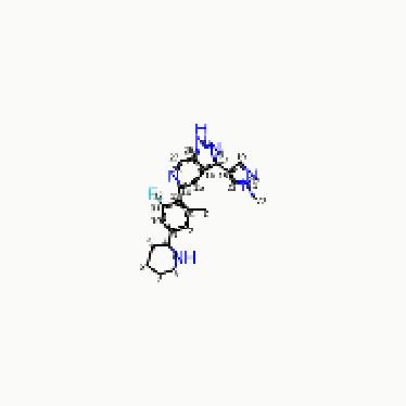 Cc1cc(C2CCCCN2)cc(F)c1-c1cc2c(-c3cnn(C)c3)n[nH]c2cn1